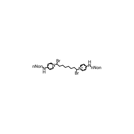 CCCCCCCCCNc1cc[n+](C(Br)CCCCCCC(Br)[n+]2ccc(NCCCCCCCCC)cc2)cc1